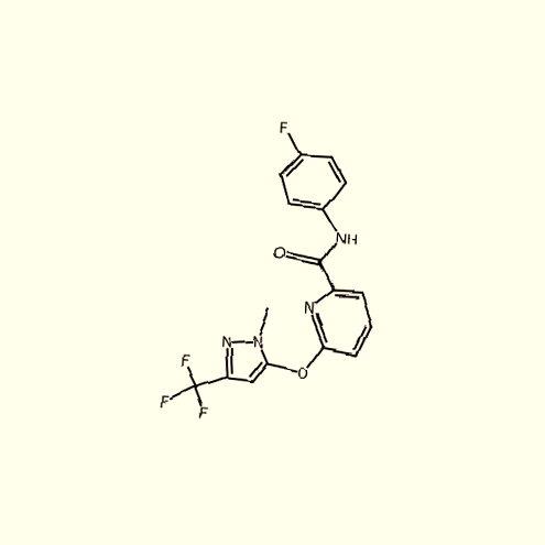 Cn1nc(C(F)(F)F)cc1Oc1cccc(C(=O)Nc2ccc(F)cc2)n1